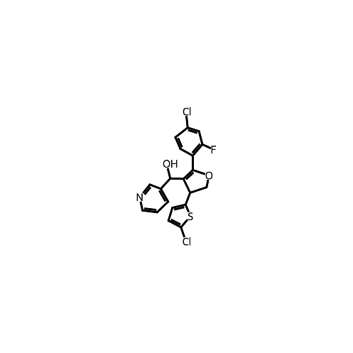 OC(C1=C(c2ccc(Cl)cc2F)OCC1c1ccc(Cl)s1)c1cccnc1